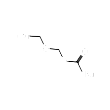 CCC(C)C(=O)OCOCC(C)(C)C